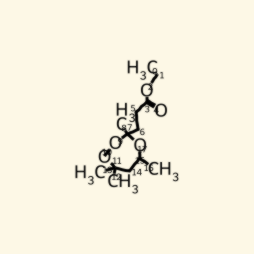 CCOC(=O)CCC1(C)OOC(C)(C)CC(C)O1